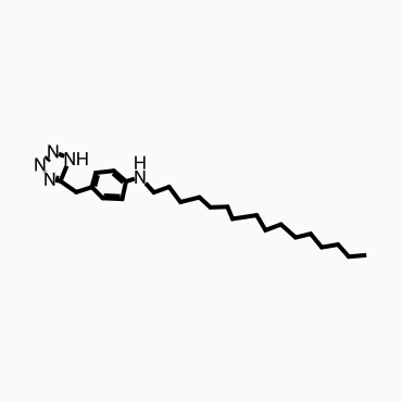 CCCCCCCCCCCCCCCCNc1ccc(Cc2nnn[nH]2)cc1